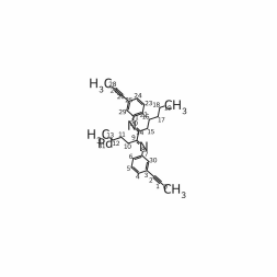 CC#Cc1cccc(/N=C(CCCC)/C(CCCCC)=N/c2cccc(C#CC)c2)c1.[Pd]